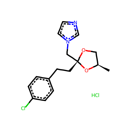 C[C@@H]1CO[C@@](CCc2ccc(Cl)cc2)(Cn2ccnc2)O1.Cl